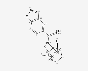 CC1(C)[C@H](NC(=O)c2ccc3oncc3c2)C2CCN1CC2.Cl